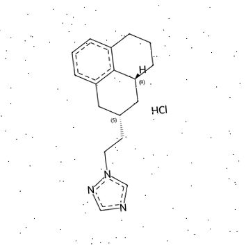 Cl.c1cc2c3c(c1)C[C@@H](CCn1cncn1)C[C@H]3CCC2